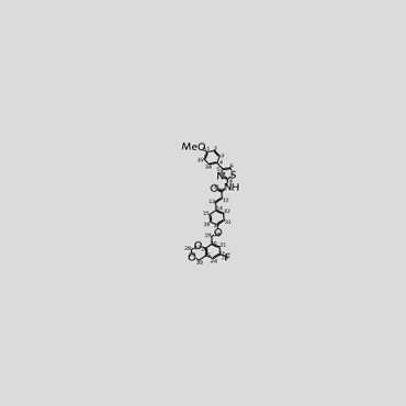 COc1ccc(-c2csc(NC(=O)/C=C/c3ccc(OCc4cc(F)cc5c4OCOC5)cc3)n2)cc1